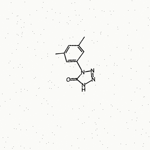 Cc1cc(C)cc(-n2nn[nH]c2=O)c1